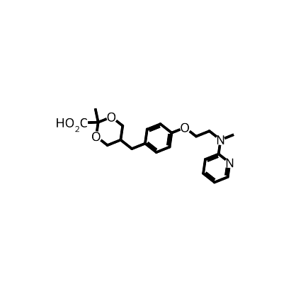 CN(CCOc1ccc(CC2COC(C)(C(=O)O)OC2)cc1)c1ccccn1